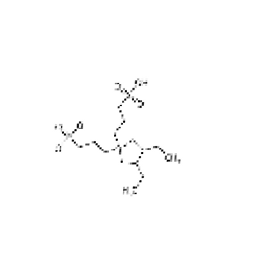 CCC1C[N+](CCCP(=O)(O)O)(CCCS(=O)(=O)O)CC1CC